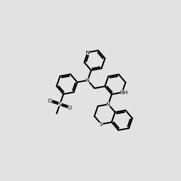 CS(=O)(=O)c1cccc(N(CC2=C(N3CCSc4ccccc43)NCC=C2)c2cccnc2)c1